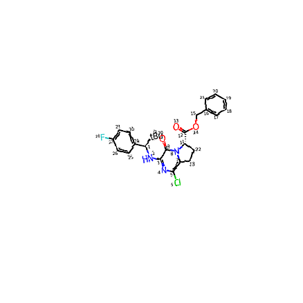 CC(C)(C)[C@@H](Nc1nc(Cl)c2n(c1=O)[C@H](C(=O)OCc1ccccc1)CC2)c1ccc(F)cc1